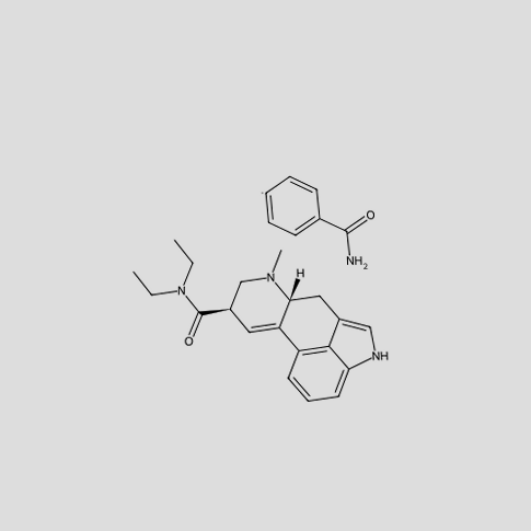 CCN(CC)C(=O)[C@@H]1C=C2c3cccc4[nH]cc(c34)C[C@H]2N(C)C1.NC(=O)c1cc[c]cc1